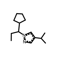 CCC(C1CCCC1)n1cc(C(C)C)cn1